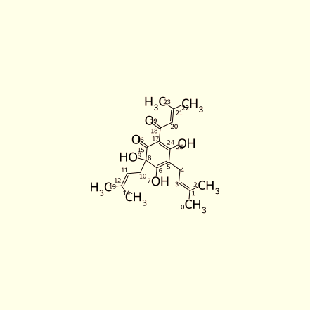 CC(C)=CCC1=C(O)C(O)(CC=C(C)C)C(=O)C(C(=O)C=C(C)C)=C1O